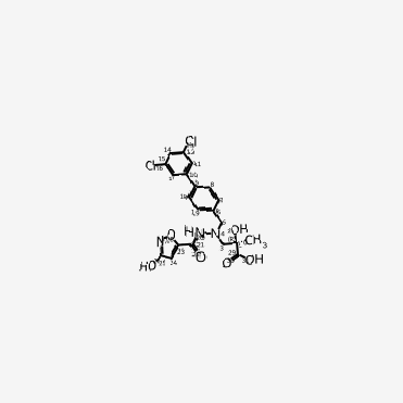 C[C@@](O)(CN(Cc1ccc(-c2cc(Cl)cc(Cl)c2)cc1)NC(=O)c1cc(O)no1)C(=O)O